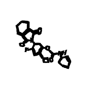 O=C(Nc1ccccc1)Oc1cc(N2C(=O)C3=C(CCCC3)C2=O)c(F)cc1Cl